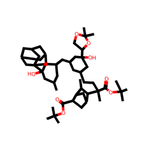 CC1CC(CC2CC(CCC(C)(C(=O)OC(C)(C)C)C3C4CC(C(=O)OC(C)(C)C)C(C4)C3C)CC(O)(C3COC(C)(C)O3)C2)CC(O)(C23CC4CC(CC(C4)C2)C3)C1